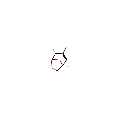 CC1=C[C@H]2CO[C@H](O2)[C@H]1O